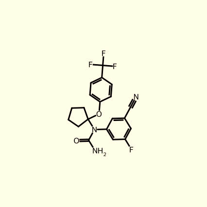 N#Cc1cc(F)cc(N(C(N)=O)C2(Oc3ccc(C(F)(F)F)cc3)CCCC2)c1